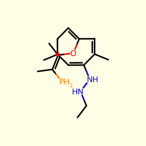 CCNNC1=C/C(C)C/C=C(O/C(C)=C(/C)P)/C=C\1C